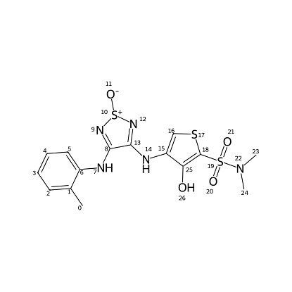 Cc1ccccc1Nc1n[s+]([O-])nc1Nc1csc(S(=O)(=O)N(C)C)c1O